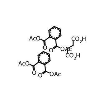 CC(=O)OC(=O)c1ccccc1C(=O)OC(C)=O.CC(=O)OC(=O)c1ccccc1C(=O)OC(C)=O.O=C(O)CCC(=O)O